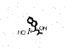 CC(C)C(O)C(CN(C)C)c1ccc2ccccc2c1.Cl